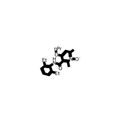 CCCOc1cc(C)[n+]([O-])c(C)c1C(=O)Nc1c(CC)cccc1CC